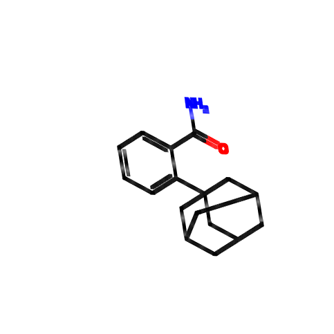 NC(=O)c1ccccc1C12CC3CC(CC(C3)C1)C2